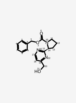 O=C(OCc1ccccc1)N1CCC[C@H]1c1nccc(CO)n1